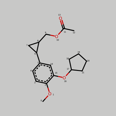 COc1ccc(C2CC2COC(C)=O)cc1OC1CCCC1